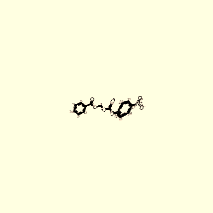 O=C(OCOC(=O)c1ccccc1)Oc1ccc([N+](=O)[O-])cc1